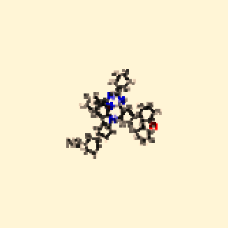 N#Cc1cccc(-c2ccc3c(c2)c2ccccc2n3-c2ccc(-c3cccc4oc5ccccc5c34)cc2-c2nc(-c3ccccc3)nc(-c3ccccc3)n2)c1